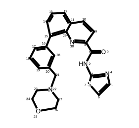 O=C(Nc1nccs1)c1ccc2cccc(-c3cccc(CN4CCOCC4)c3)c2n1